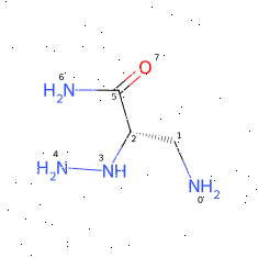 NC[C@H](NN)C(N)=O